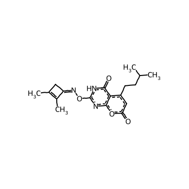 CC1=C(C)/C(=N\Oc2nc3oc(=O)cc(CCC(C)C)c3c(=O)[nH]2)C1